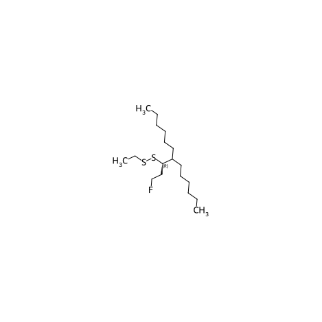 CCCCCCC(CCCCCC)[C@@H](CCF)SSCC